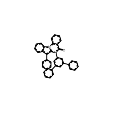 O=c1c2ccccc2n2c3ccccc3c(-c3ccccc3)c2n1-c1cc(-c2ccccc2)cc(-c2ccccc2)c1